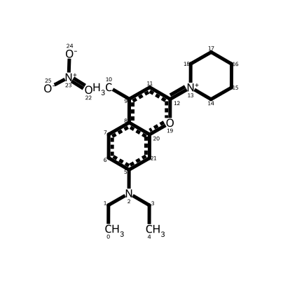 CCN(CC)c1ccc2c(C)cc(=[N+]3CCCCC3)oc2c1.O=[N+]([O-])[O-]